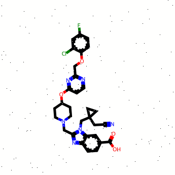 N#CCC1(Cn2c(CN3CCC(Oc4ccnc(COc5ccc(F)cc5Cl)n4)CC3)nc3ccc(C(=O)O)cc32)CC1